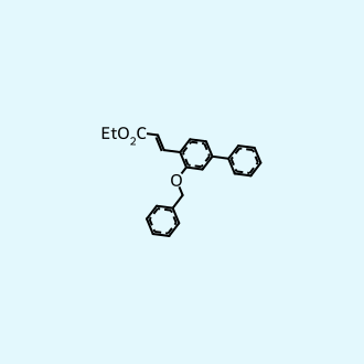 CCOC(=O)C=Cc1ccc(-c2ccccc2)cc1OCc1ccccc1